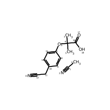 CC#N.CC(C)(Oc1ccc(CC#N)cc1)C(=O)O